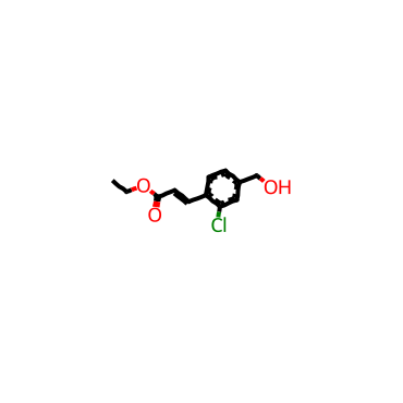 CCOC(=O)/C=C/c1ccc(CO)cc1Cl